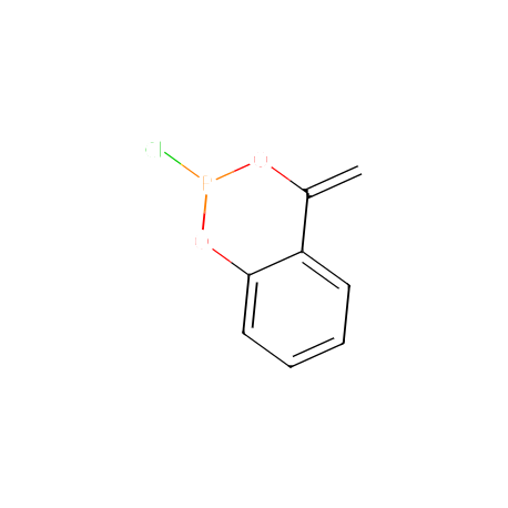 C=C1OP(Cl)Oc2ccccc21